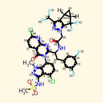 Cn1nc(NS(C)(=O)=O)c2c(Cl)ccc(-n3c(C(Cc4cc(F)cc(F)c4)NC(=O)Cn4nc(C(F)F)c5c4C(F)(F)[C@H]4C[C@@H]54)nc4nc(Cl)ccc4c3=O)c21